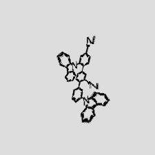 N#Cc1ccc(-c2ccc(-c3cccc(-n4c5ccccc5c5ccccc54)c3)c(C#N)c2)c(-n2c3ccccc3c3ccccc32)c1